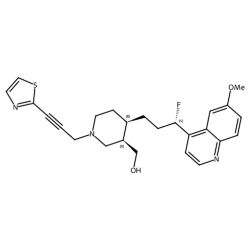 COc1ccc2nccc([C@@H](F)CC[C@@H]3CCN(CC#Cc4nccs4)C[C@@H]3CO)c2c1